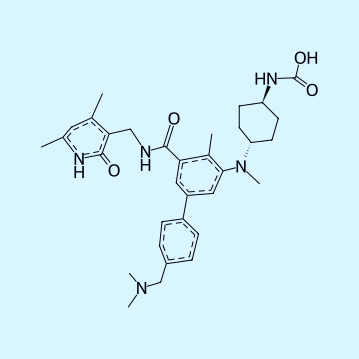 Cc1cc(C)c(CNC(=O)c2cc(-c3ccc(CN(C)C)cc3)cc(N(C)[C@H]3CC[C@H](NC(=O)O)CC3)c2C)c(=O)[nH]1